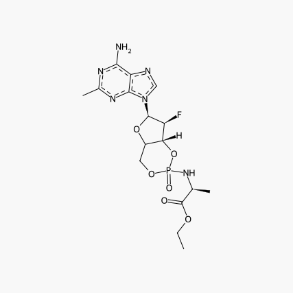 CCOC(=O)[C@H](C)NP1(=O)OCC2O[C@@H](n3cnc4c(N)nc(C)nc43)[C@@H](F)[C@@H]2O1